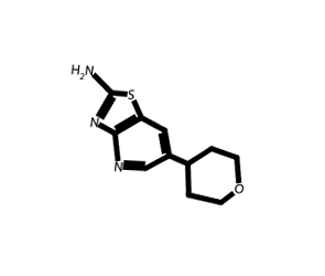 Nc1nc2ncc(C3CCOCC3)cc2s1